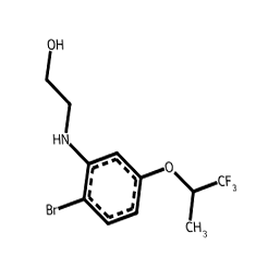 CC(Oc1ccc(Br)c(NCCO)c1)C(F)(F)F